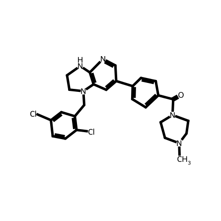 CN1CCN(C(=O)c2ccc(-c3cnc4c(c3)N(Cc3cc(Cl)ccc3Cl)CCN4)cc2)CC1